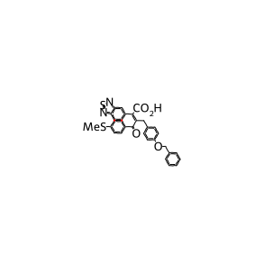 CSc1ccc(C(=O)/C(Cc2ccc(OCc3ccccc3)cc2)=C(/C(=O)O)c2ccc3nsnc3c2)cc1